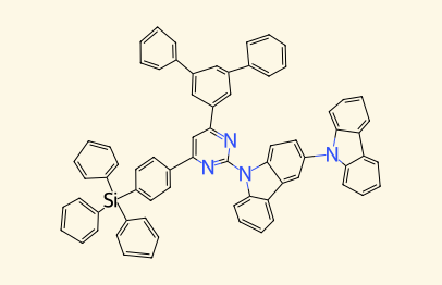 c1ccc(-c2cc(-c3ccccc3)cc(-c3cc(-c4ccc([Si](c5ccccc5)(c5ccccc5)c5ccccc5)cc4)nc(-n4c5ccccc5c5cc(-n6c7ccccc7c7ccccc76)ccc54)n3)c2)cc1